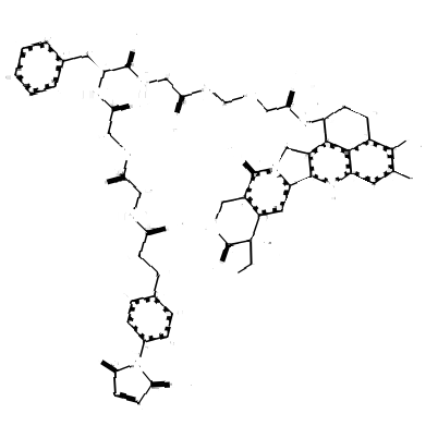 CC[C@@]1(C)C(=O)OCc2c1cc1n(c2=O)Cc2c-1nc1cc(F)c(C)c3c1c2[C@@](C)(NC(=O)COCNC(=O)CNC(=O)[C@H](Cc1ccccc1)NC(=O)CNC(=O)CNC(=O)CCc1ccc(N2C(=O)C=CC2=O)cc1)CC3